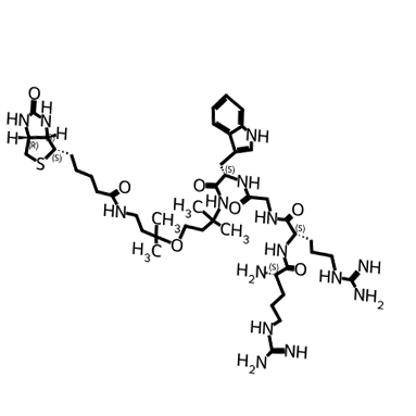 CC(C)(CCOC(C)(C)CCNC(=O)CCCC[C@@H]1SC[C@@H]2NC(=O)N[C@@H]21)NC(=O)[C@H](Cc1c[nH]c2ccccc12)NC(=O)CNC(=O)[C@H](CCCNC(=N)N)NC(=O)[C@@H](N)CCCNC(=N)N